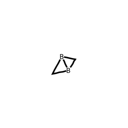 C1B2CB12